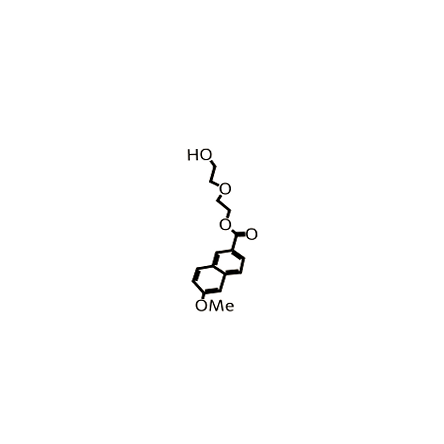 COc1ccc2cc(C(=O)OCCOCCO)ccc2c1